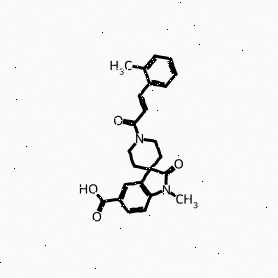 Cc1ccccc1/C=C/C(=O)N1CCC2(CC1)C(=O)N(C)c1ccc(C(=O)O)cc12